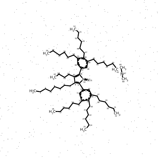 CCCCCCCCC1=C(c2cc(CCCCCC)c(CCCCCC)c(CCCCCC)c2)[N+](=[N-])C(c2cc(CCCCCC)c(CCCCCC)c(CCCCCC)c2)=C1CCCC.[CH3][Ni][CH3]